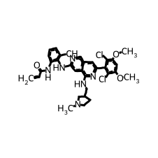 C=CC(=O)Nc1cccc(C)c1Nc1cc2c(NCC3CCN(C)C3)nc(-c3c(Cl)c(OC)cc(OC)c3Cl)cc2cn1